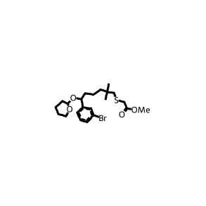 COC(=O)CSCC(C)(C)CCCC(OC1CCCCO1)c1cccc(Br)c1